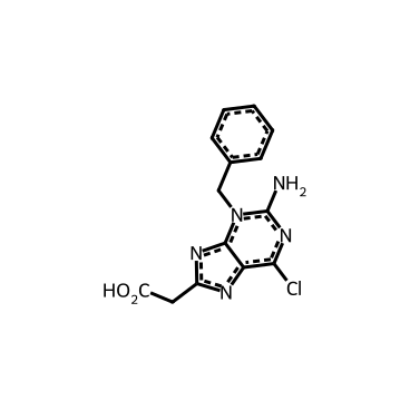 Nc1nc(Cl)c2nc(CC(=O)O)nc-2n1Cc1ccccc1